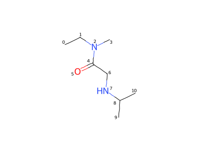 CCN(C)C(=O)CNC(C)C